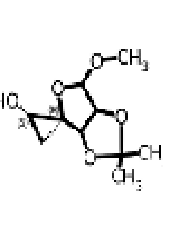 COC1O[C@@]2(C[C@@H]2O)C2OC(C)(C)OC12